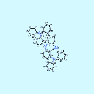 N#Cc1c(-n2c3ccccc3c3c2ccc2c4ccccc4n(-c4ccccc4)c23)ccc2c3ccccc3n(-c3ccccc3)c12